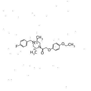 CCOc1ccc(OCC(=O)N2C[C@H](C)N(Cc3ccc(F)cc3)C[C@H]2C)cc1